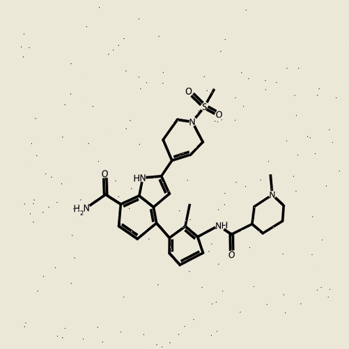 Cc1c(NC(=O)C2CCCN(C)C2)cccc1-c1ccc(C(N)=O)c2[nH]c(C3=CCN(S(C)(=O)=O)CC3)cc12